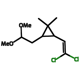 COC(CC1C(C=C(Cl)Cl)C1(C)C)OC